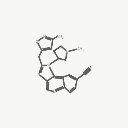 Cc1cc(Cc2nc3cnc4ccc(C#N)cc4c3n2C2CCN(C)C2)on1